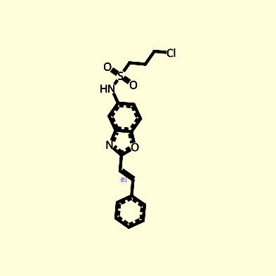 O=S(=O)(CCCCl)Nc1ccc2oc(/C=C/c3ccccc3)nc2c1